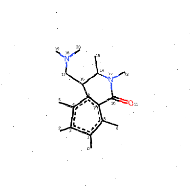 Cc1c(C)c(C)c2c(c1C)C(=O)N(C)C(C)C2CN(C)C